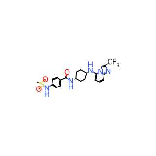 CS(=O)(=O)Nc1ccc(C(=O)N[C@H]2CC[C@@H](Nc3cccc4nc(C(F)(F)F)cn34)CC2)cc1